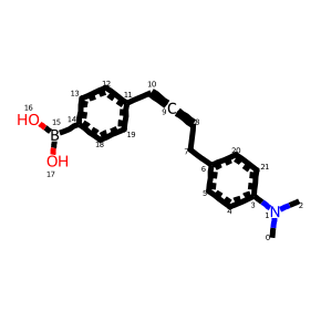 CN(C)c1ccc(CC=C=Cc2ccc(B(O)O)cc2)cc1